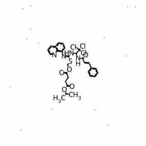 CC(C)OC(=O)CCC(=O)OCS/C(=N/c1cccc2cccnc12)NC(NC(=O)/C=C/c1ccccc1)C(Cl)(Cl)Cl